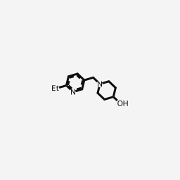 CCc1ccc(CN2CCC(O)CC2)cn1